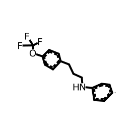 FC(F)(F)Oc1ccc(CCCNc2cc[c]cc2)cc1